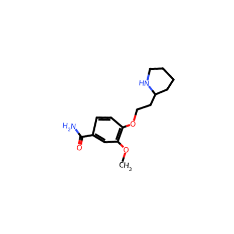 COc1cc(C(N)=O)ccc1OCCC1CCCCN1